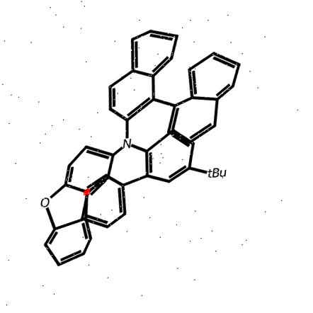 CC(C)(C)c1ccc(N(c2ccc3oc4ccccc4c3c2)c2ccc3ccccc3c2-c2cccc3ccccc23)c(-c2ccccc2)c1